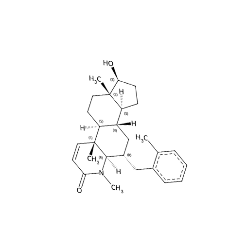 Cc1ccccc1C[C@H]1C[C@@H]2[C@H](CC[C@]3(C)[C@@H](O)CC[C@@H]23)[C@@]2(C)C=CC(=O)N(C)[C@H]12